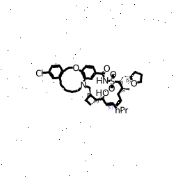 C=CC[C@H](C)[C@@H](C[C@@H]1CCCO1)S(=O)(=O)NC(=O)c1ccc2c(c1)N(C[C@@H]1CC[C@H]1[C@@H](O)/C=C/CCC)CCCCc1cc(Cl)ccc1CO2